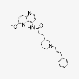 COc1ccc2nccc(NC(=O)CCC3CCCN(CC=Cc4ccccc4)C3)c2n1